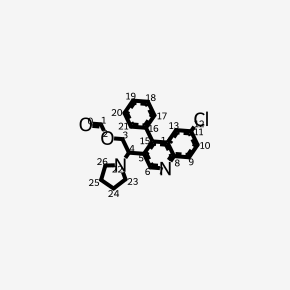 O=COCC(c1cnc2ccc(Cl)cc2c1-c1ccccc1)N1CCCC1